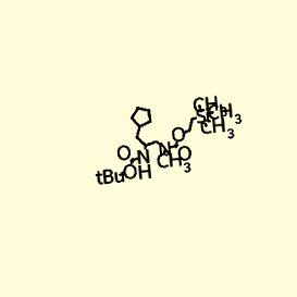 CN(CC(CC1CCCC1)NC(=O)OC(C)(C)C)C(=O)OCC[Si](C)(C)C